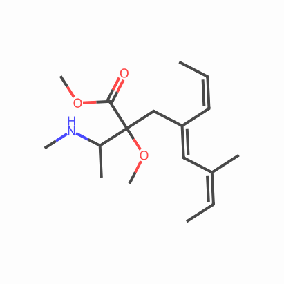 C\C=C/C(=C\C(C)=C/C)CC(OC)(C(=O)OC)C(C)NC